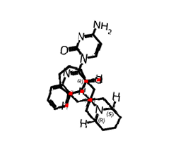 Nc1ccn(-c2nc3ccccc3n([C@@H]3C[C@H]4CCC[C@@H](C3)N4[C@@H]3C[C@@H]4CCCC[C@@H](C4)C3)c2=O)c(=O)n1